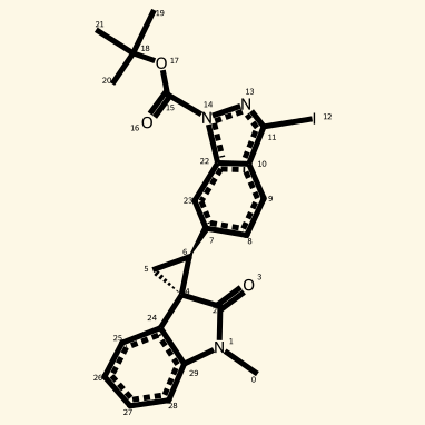 CN1C(=O)[C@@]2(C[C@H]2c2ccc3c(I)nn(C(=O)OC(C)(C)C)c3c2)c2ccccc21